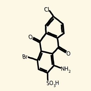 Nc1c(S(=O)(=O)O)cc(Br)c2c1C(=O)c1ccc(Cl)cc1C2=O